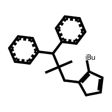 CCC(C)C1=C(CC(C)(C)C(c2ccccc2)c2ccccc2)CC=C1